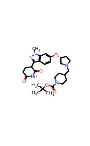 Cn1nc(C2CCC(=O)NC2=O)c2ccc(O[C@@H]3CCN(CC4CCN(C(=O)OC(C)(C)C)CC4)C3)cc21